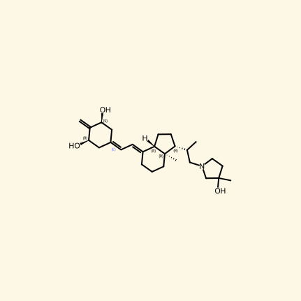 C=C1[C@H](O)C/C(=C/C=C2CCC[C@]3(C)[C@@H](C(C)CN4CCC(C)(O)C4)CC[C@@H]23)C[C@@H]1O